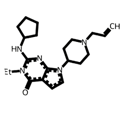 C=CCN1CCC(n2ccc3c(=O)n(CC)c(NC4CCCC4)nc32)CC1